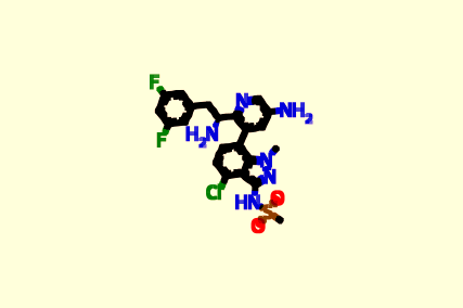 Cn1nc(NS(C)(=O)=O)c2c(Cl)ccc(-c3cc(N)cnc3[C@@H](N)Cc3cc(F)cc(F)c3)c21